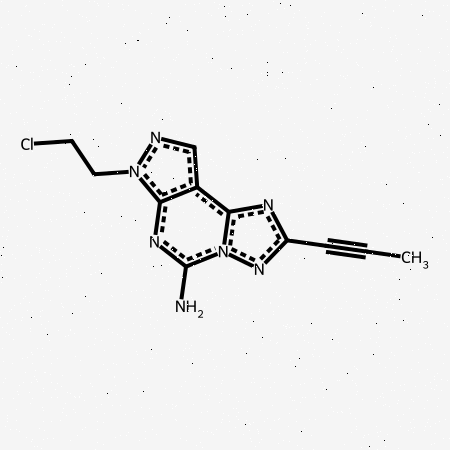 CC#Cc1nc2c3cnn(CCCl)c3nc(N)n2n1